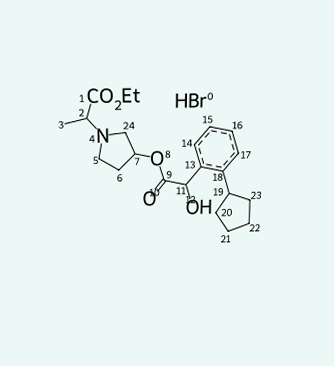 Br.CCOC(=O)C(C)N1CCC(OC(=O)C(O)c2ccccc2C2CCCC2)C1